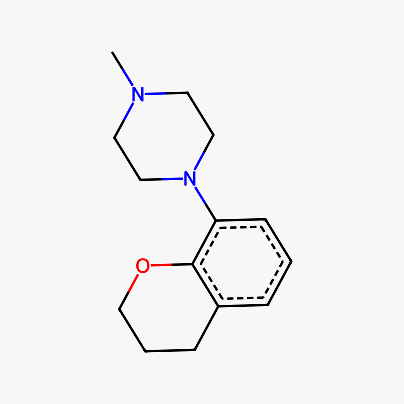 CN1CCN(c2cccc3c2OCCC3)CC1